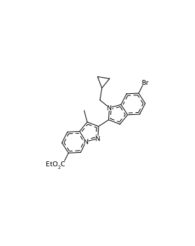 CCOC(=O)c1ccc2c(C)c(-c3cc4ccc(Br)cc4n3CC3CC3)nn2c1